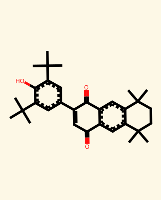 CC(C)(C)c1cc(C2=CC(=O)c3cc4c(cc3C2=O)C(C)(C)CCC4(C)C)cc(C(C)(C)C)c1O